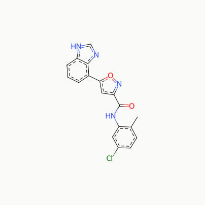 Cc1ccc(Cl)cc1NC(=O)c1cc(-c2cccc3[nH]cnc23)on1